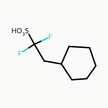 O=S(=O)(O)C(F)(F)CC1CCCCC1